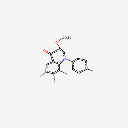 CCOC(=O)Oc1cn(-c2ccc(F)cc2)c2c(F)c(F)c(F)cc2c1=O